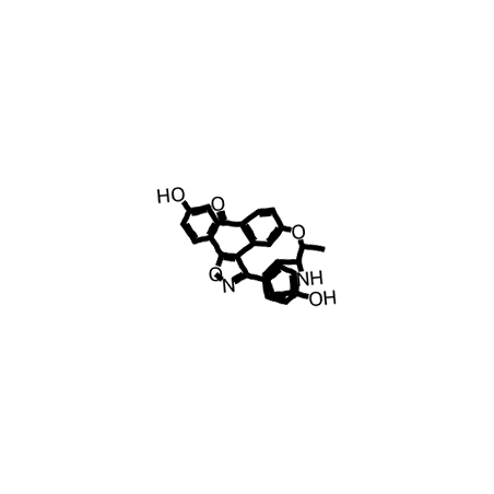 CC(Oc1ccc(C=O)c(-c2c(-c3ccc(O)cc3)noc2-c2ccc(O)cc2)c1)C1CCCCN1